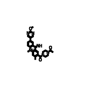 CNc1ccc(-c2cnc(OC)nc2)cc1C(=N)c1ccc(C)c(C(=O)N2CCN(C(C)=O)CC2)c1